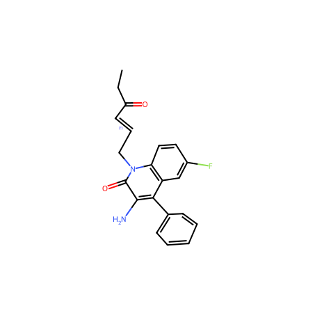 CCC(=O)/C=C/Cn1c(=O)c(N)c(-c2ccccc2)c2cc(F)ccc21